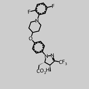 C[C@@H]1C(C(F)(F)F)=NN(c2ccc(OC3CCN(c4cc(F)ccc4F)CC3)cc2)[C@H]1CC(=O)O